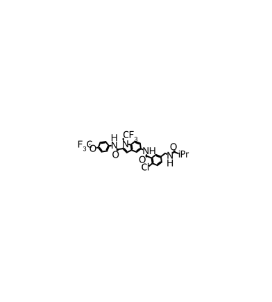 CC(C)C(=O)NCc1ccc(Cl)c(C(=O)Nc2ccc3c(c2)cc(C(=O)Nc2ccc(OC(F)(F)F)cc2)n3CC(F)(F)F)c1